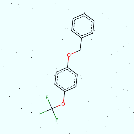 FC(F)(F)Oc1ccc(OCc2cc[c]cc2)cc1